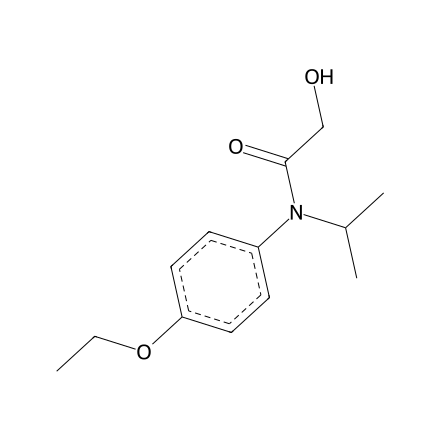 CCOc1ccc(N(C(=O)CO)C(C)C)cc1